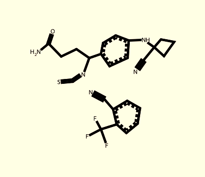 N#CC1(Nc2ccc(C(CCC(N)=O)N=C=S)cc2)CCC1.N#Cc1ccccc1C(F)(F)F